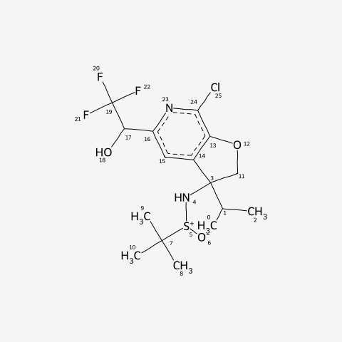 CC(C)C1(N[S+]([O-])C(C)(C)C)COc2c1cc(C(O)C(F)(F)F)nc2Cl